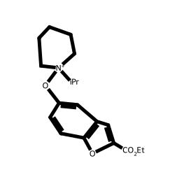 CCOC(=O)c1cc2cc(O[N+]3(C(C)C)CCCCC3)ccc2o1